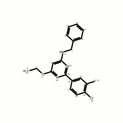 CCOc1cc(NCc2ccccc2)nc(-c2ccc(Cl)c(F)c2)n1